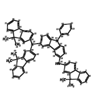 CC1(C)c2ccccc2-c2ccc(Nc3ccc4c(c3)c3cc(N(c5ccc6c(c5)C(C)(C)c5ccccc5-6)c5ccc6c(c5)C(C)(C)c5ccccc5-6)ccc3n4-c3ccccc3)cc21